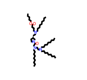 CCCCCCCCCN(CCCC(=O)OCCCCC)CC[C@@H]1CCN(C(=O)CN(CCCCCCCCC)CCN(CCCCCCCCC)CCCCCCCCC)C1